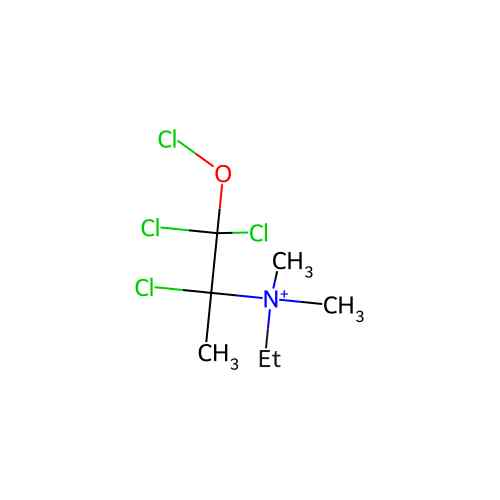 CC[N+](C)(C)C(C)(Cl)C(Cl)(Cl)OCl